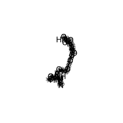 C[C@H](NC(=O)c1cccc(NC2(c3nnc(-c4ccncc4)[nH]3)CCN(C(=O)OC(C)(C)C)CC2)c1)c1cccc(OCCCCCOCCCOCC(=O)N2CCN(c3ccc4c(c3)CN(C3CCC(=O)NC3=O)C4=O)CC2)c1